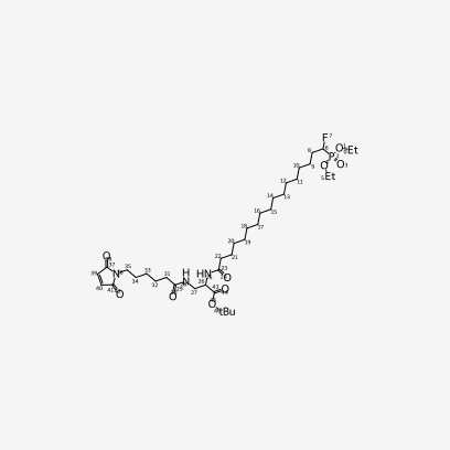 CCOP(=O)(OCC)C(F)CCCCCCCCCCCCCCCC(=O)NC(CNC(=O)CCCCCN1C(=O)C=CC1=O)C(=O)OC(C)(C)C